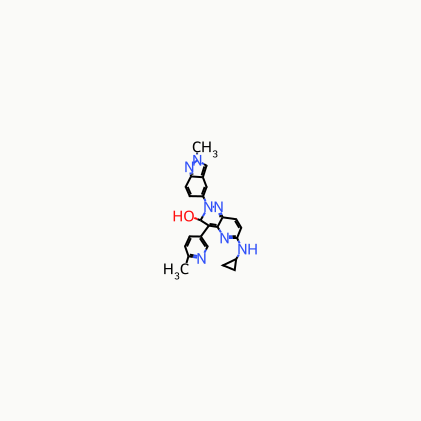 Cc1ccc(C2=c3nc(NC4CC4)ccc3=NN(c3ccc4nn(C)cc4c3)C2O)cn1